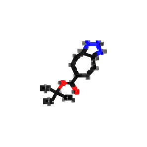 CC(C)(C)OC(=O)c1ccc2nnnc-2cc1